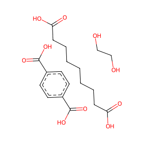 O=C(O)CCCCCCCC(=O)O.O=C(O)c1ccc(C(=O)O)cc1.OCCO